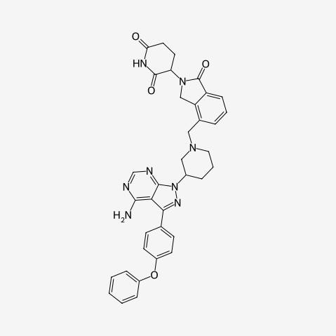 Nc1ncnc2c1c(-c1ccc(Oc3ccccc3)cc1)nn2C1CCCN(Cc2cccc3c2CN(C2CCC(=O)NC2=O)C3=O)C1